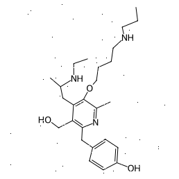 CCCNCCCCOc1c(C)nc(Cc2ccc(O)cc2)c(CO)c1CC(C)NCC